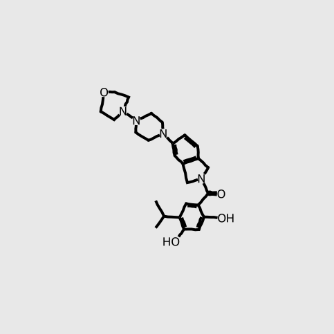 CC(C)c1cc(C(=O)N2Cc3ccc(N4CCN(N5CCOCC5)CC4)cc3C2)c(O)cc1O